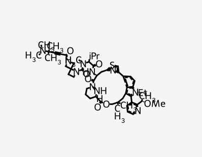 CCn1c(-c2cccnc2[C@H](C)OC)c2c3cc(ccc31)-c1csc(n1)C[C@H](NC(=O)C(C(C)C)N(C)C(=O)N1CCC13CN(C(=O)C#CC(C)(C)N(C)C)C3)C(=O)N1CCC[C@H](N1)C(=O)OCC(C)(C)C2